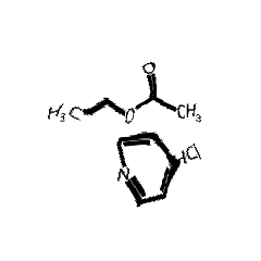 CCOC(C)=O.Cl.c1ccncc1